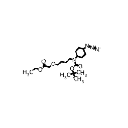 CCOC(=O)COCCCCN(C(=O)OC(C)(C)C)C1CCC(N=[N+]=[N-])CC1